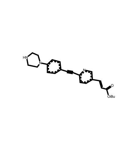 CC(C)COC(=O)/C=C/c1ccc(C#Cc2ccc(N3CCNCC3)cc2)nc1